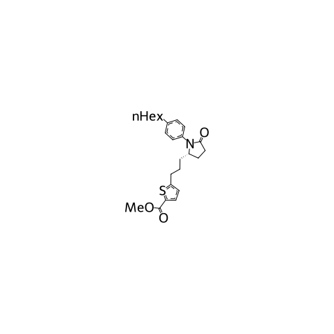 CCCCCCc1ccc(N2C(=O)CC[C@@H]2CCCc2ccc(C(=O)OC)s2)cc1